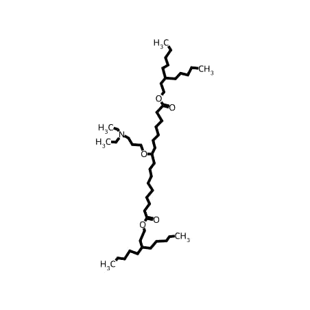 CCCCCC(CCCCC)CCOC(=O)CCCCCCCCC(CCCCCCC(=O)OCCC(CCCCC)CCCCC)OCCCN(CC)CC